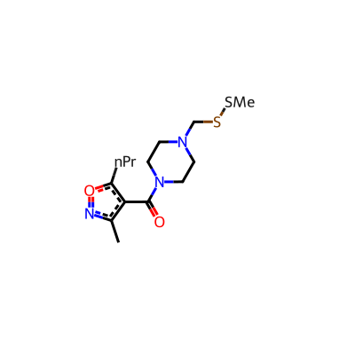 CCCc1onc(C)c1C(=O)N1CCN(CSSC)CC1